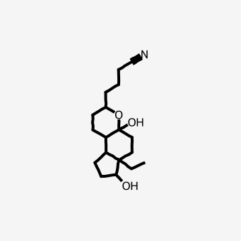 CCC12CCC3(O)OC(CCCC#N)CCC3C1CCC2O